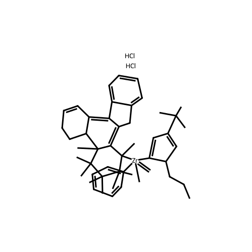 Cl.Cl.[CH2]=[Zr]([CH3])([C]1=CC(C(C)(C)C)=CC1CCC)([c]1ccccc1)[C]1(C)C2=C3Cc4ccccc4C3=C3C=CCCC3C2(C)C(C)(C)C(C)(C)C1(C)C